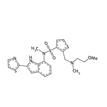 COCCN(C)Cc1sccc1S(=O)(=O)N(C)c1cccc2cc(-c3nccs3)[nH]c12